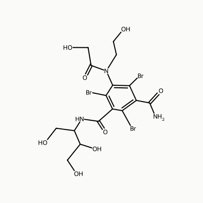 NC(=O)c1c(Br)c(C(=O)NC(CO)C(O)CO)c(Br)c(N(CCO)C(=O)CO)c1Br